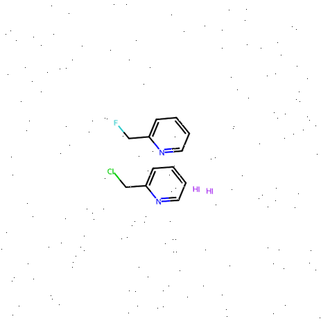 ClCc1ccccn1.FCc1ccccn1.I.I